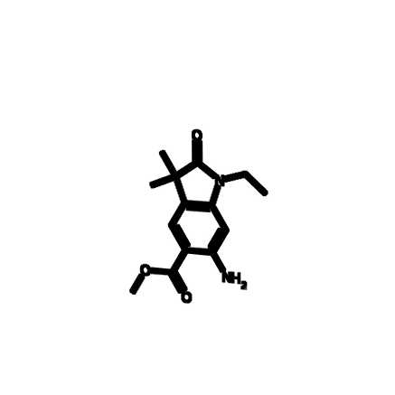 CCN1C(=O)C(C)(C)c2cc(C(=O)OC)c(N)cc21